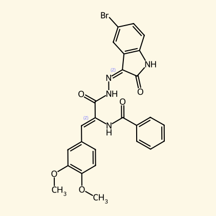 COc1ccc(/C=C(\NC(=O)c2ccccc2)C(=O)N/N=C2\C(=O)Nc3ccc(Br)cc32)cc1OC